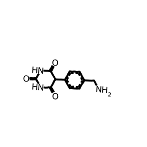 NCc1ccc(C2C(=O)NC(=O)NC2=O)cc1